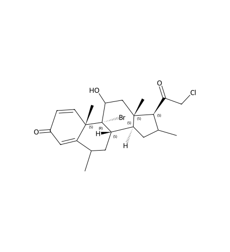 CC1C[C@H]2[C@@H]3CC(C)[C@H](C(=O)CCl)[C@@]3(C)CC(O)[C@]2(Br)[C@@]2(C)C=CC(=O)C=C12